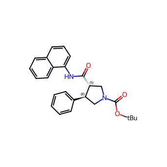 CC(C)(C)OC(=O)N1C[C@@H](C(=O)Nc2cccc3ccccc23)[C@H](c2ccccc2)C1